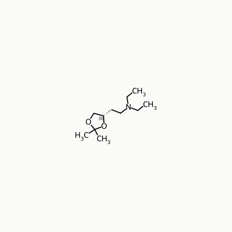 CCN(CC)CC[C@H]1COC(C)(C)O1